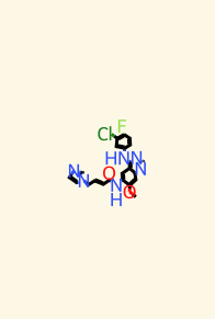 COc1cc2ncnc(Nc3ccc(F)c(Cl)c3)c2cc1NC(=O)C=CCn1ccnc1